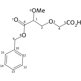 COC(COCC(=O)O)C(=O)OCc1ccccc1